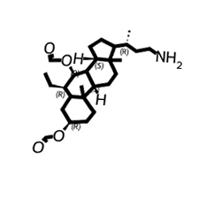 CC[C@@H]1C2C[C@H](OC=O)CCC2(C)[C@H]2CCC3(C)C([C@H](C)CCN)CC[C@H]3C2[C@@H]1OC=O